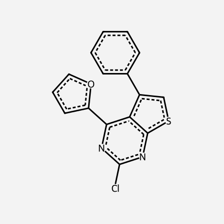 Clc1nc(-c2ccco2)c2c(-c3ccccc3)csc2n1